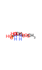 COCCOCCOCCC(=O)NCCCCC(NC(O)c1ccc(S(=O)O)cc1)C(C)O